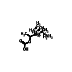 C=C.C=C.C=C.CC(C)OC(=O)O.N.N